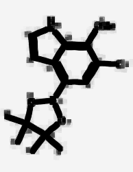 COc1c(Cl)cc(B2OC(C)(C)C(C)(C)O2)c2cc[nH]c12